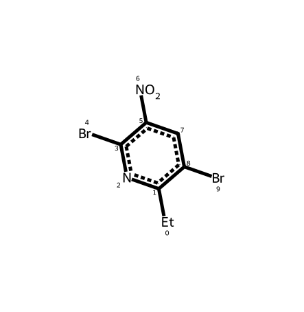 CCc1nc(Br)c([N+](=O)[O-])cc1Br